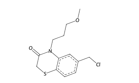 COCCCN1C(=O)CSc2ccc(CCl)cc21